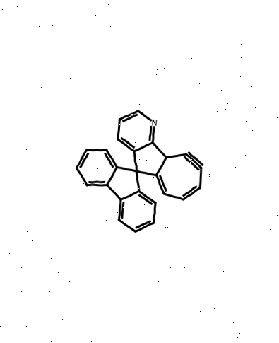 C1#CC2C(=CC=C1)C1(c3ccccc3-c3ccccc31)c1cccnc12